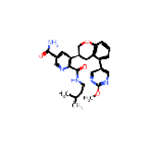 COc1ncc(-c2cccc3c2C[C@@H](c2cc(C(N)=O)cnc2C(=O)NCCC(C)C)CO3)cn1